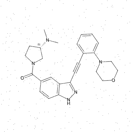 CN(C)[C@H]1CCN(C(=O)c2ccc3[nH]nc(C#Cc4ccccc4N4CCOCC4)c3c2)C1